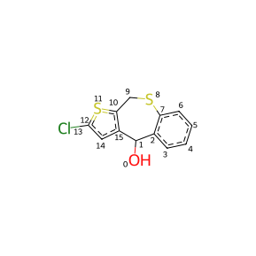 OC1c2ccccc2SCc2sc(Cl)cc21